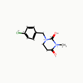 CN1C(=O)CCN(Cc2ccc(Cl)cc2)C1=O